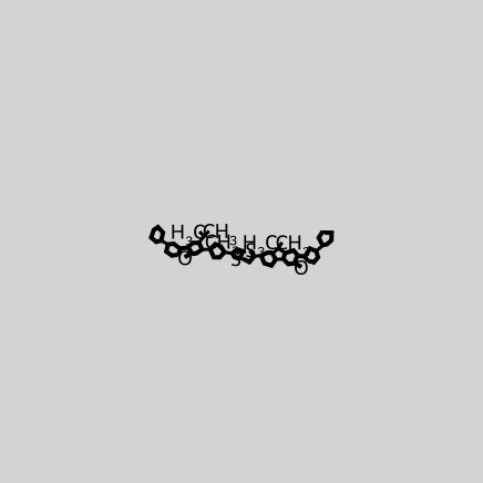 CC(C)(C)c1cc2c(cc1-c1ccc(-c3cc4sc(-c5ccc6c(c5)C(C)(C)c5cc7c(cc5-6)oc5ccc(-c6ccccc6)cc57)cc4s3)cc1)oc1ccc(-c3ccccc3)cc12